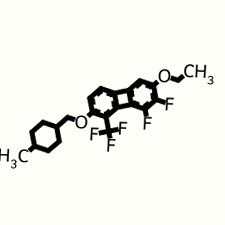 CCOc1cc2c(c(F)c1F)-c1c-2ccc(OCC2CCC(C)CC2)c1C(F)(F)F